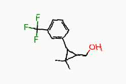 CC1(C)C(CO)C1c1cccc(C(F)(F)F)c1